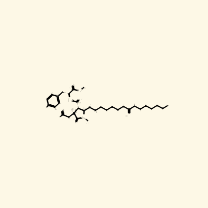 CCCCCCCC(=O)CCCCCCCC1[C@H](C(=O)N[C@@H](Cc2ccc(O)cc2)C(=O)NC)[C@@](O)(CC(=O)O)C(=O)N1C